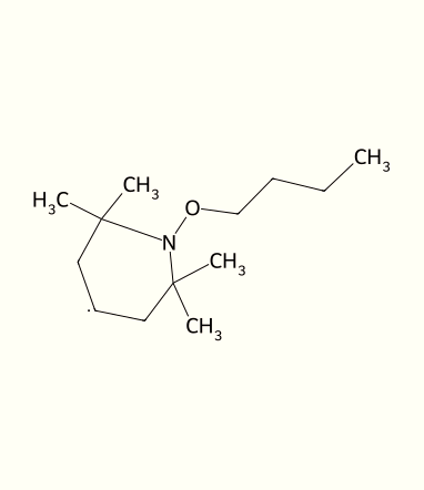 CCCCON1C(C)(C)C[CH]CC1(C)C